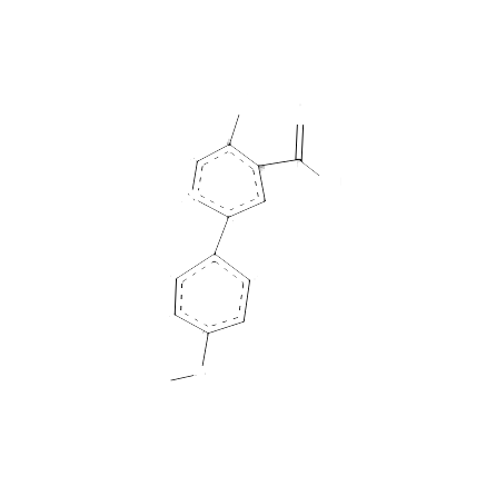 COc1ccc(-c2cc(C(=O)O)c(F)cn2)cc1